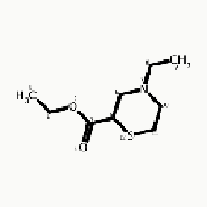 CCOC(=O)C1CN(CC)CCS1